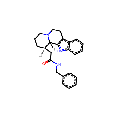 CC[C@]1(CC(=O)NCc2ccccc2)CCCN2CCc3c([nH]c4ccccc34)[C@@H]21